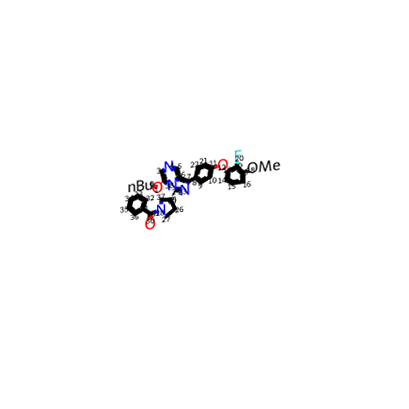 CCCCOc1cncc2c(-c3ccc(Oc4cccc(OC)c4F)cc3)nc([C@@H]3CCN(C(=O)c4ccccc4)C3)n12